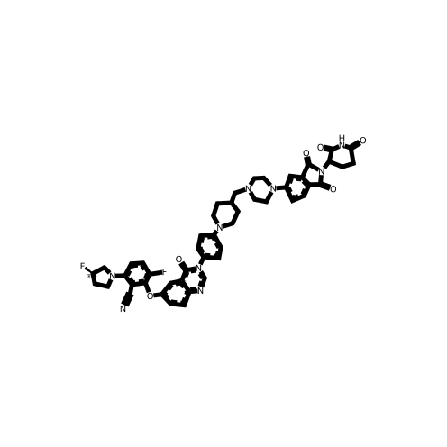 N#Cc1c(N2CC[C@@H](F)C2)ccc(F)c1Oc1ccc2ncn(-c3ccc(N4CCC(CN5CCN(c6ccc7c(c6)C(=O)N(C6CCC(=O)NC6=O)C7=O)CC5)CC4)cc3)c(=O)c2c1